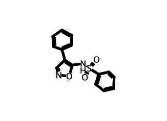 O=S(=O)(Nc1oncc1-c1ccccc1)c1ccccc1